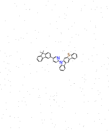 CC1(C)c2ccccc2-c2cc(-c3ccc(-n4c5ccccc5c5cc6c(cc54)sc4ccccc46)nc3)ccc21